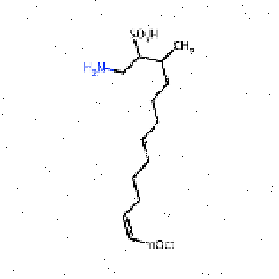 CCCCCCCC/C=C\CCCCCCCC(C)C(CN)S(=O)(=O)O